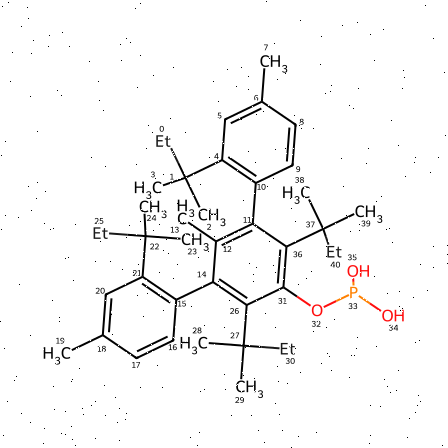 CCC(C)(C)c1cc(C)ccc1-c1c(C)c(-c2ccc(C)cc2C(C)(C)CC)c(C(C)(C)CC)c(OP(O)O)c1C(C)(C)CC